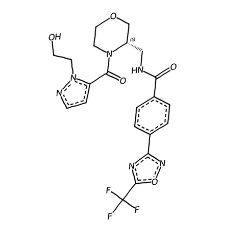 O=C(NC[C@H]1COCCN1C(=O)c1ccnn1CCO)c1ccc(-c2noc(C(F)(F)F)n2)cc1